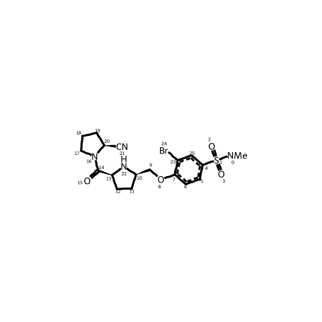 CNS(=O)(=O)c1ccc(OC[C@H]2CC[C@@H](C(=O)N3CCC[C@H]3C#N)N2)c(Br)c1